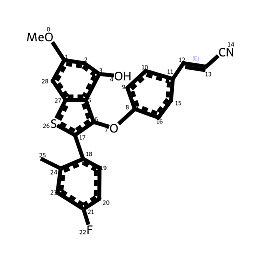 COc1cc(O)c2c(Oc3ccc(/C=C/C#N)cc3)c(-c3ccc(F)cc3C)sc2c1